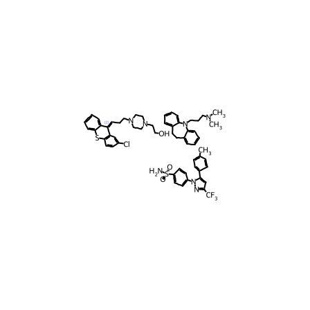 CN(C)CCCN1c2ccccc2CCc2ccccc21.Cc1ccc(-c2cc(C(F)(F)F)nn2-c2ccc(S(N)(=O)=O)cc2)cc1.OCCN1CCN(CC/C=C2/c3ccccc3Sc3ccc(Cl)cc32)CC1